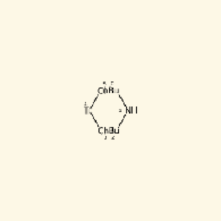 CCCCNCCCC.[Cl][Ti][Cl]